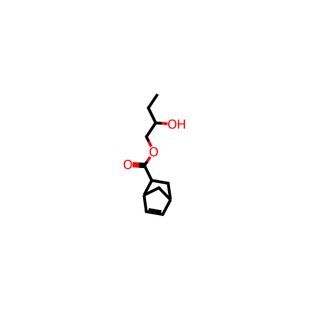 CCC(O)COC(=O)C1CC2C=CC1C2